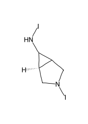 INC1C2CN(I)C[C@H]21